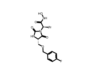 CC(C)[C@H](C(=O)NO)N1C(=O)N[C@@H](COCc2ccc(F)cc2)C1=O